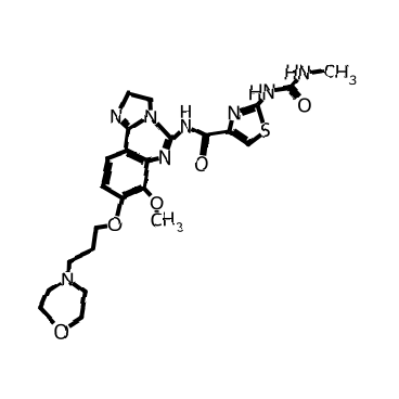 CNC(=O)Nc1nc(C(=O)NC2=Nc3c(ccc(OCCCN4CCOCC4)c3OC)C3=NCCN23)cs1